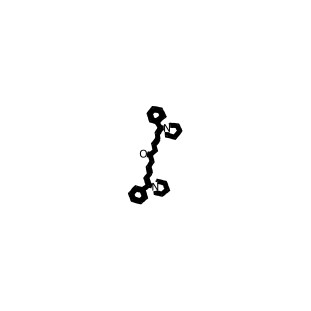 O=C(CC=CC=C(c1ccccc1)N1CCCCC1)CC=CC=C(c1ccccc1)N1CCCCC1